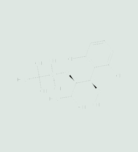 CO[C@H](c1c(Cl)cccc1Cl)[C@H](O[Si](C)(C)C(C)(C)C)C(C)C